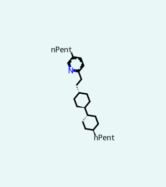 CCCCCc1ccc(CC[C@H]2CC[C@H]([C@H]3CC[C@H](CCCCC)CC3)CC2)nc1